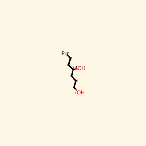 CC(C)CCC(O)CCCO